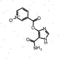 NC(=O)c1[nH]cnc1OC(=O)c1ccc[n+]([O-])c1